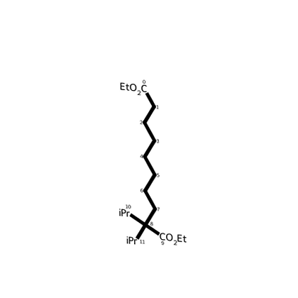 CCOC(=O)CCCCCCCC(C(=O)OCC)(C(C)C)C(C)C